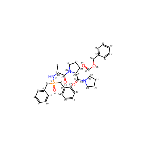 C[C@H](NP(=O)(Cc1ccccc1)Cc1ccccc1)C(=O)N1CCC[C@H]1C(=O)N1CCC[C@H]1C(=O)OCc1ccccc1